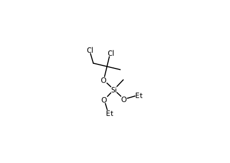 CCO[Si](C)(OCC)OC(C)(Cl)CCl